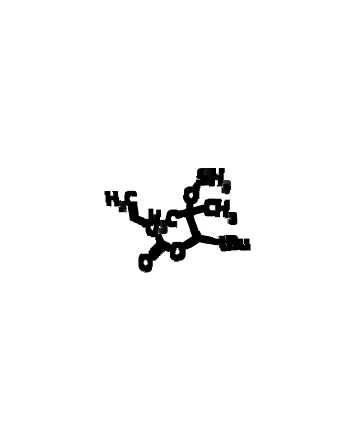 C=COC(=O)OC(C(C)(C)C)C(C)(C)O[SiH3]